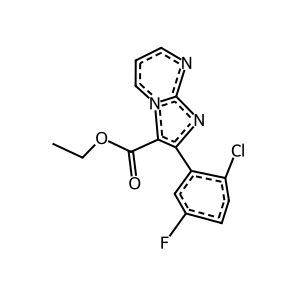 CCOC(=O)c1c(-c2cc(F)ccc2Cl)nc2ncccn12